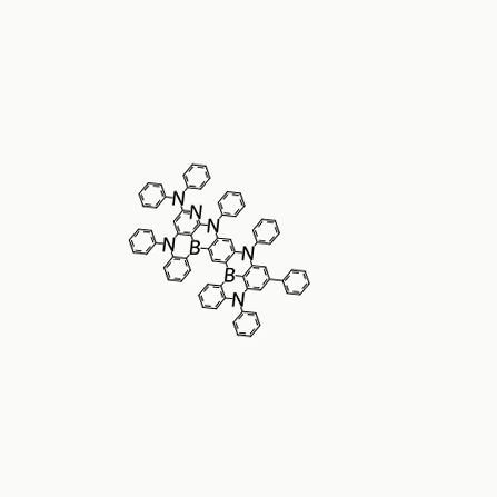 c1ccc(-c2cc3c4c(c2)N(c2ccccc2)c2cc5c(cc2B4c2ccccc2N3c2ccccc2)B2c3ccccc3N(c3ccccc3)c3cc(N(c4ccccc4)c4ccccc4)nc(c32)N5c2ccccc2)cc1